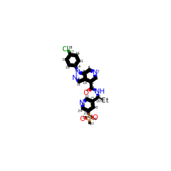 CC[C@H](NC(=O)c1cncc2c1cnn2-c1ccc(Cl)cc1)c1cncc(S(C)(=O)=O)c1